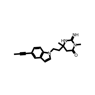 CC#Cc1ccc2c(ccn2CCC2(C)CC(=O)N(C)C(=N)N2)c1